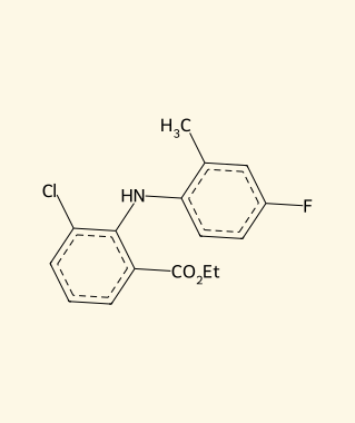 CCOC(=O)c1cccc(Cl)c1Nc1ccc(F)cc1C